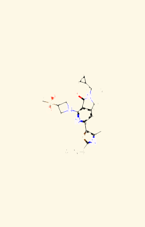 CC(=O)Nc1nc(C)c(-c2cc3c(c(N4CC(S(C)(=O)=O)C4)n2)C(=O)N([C@@H](C)C2CC2)C3)s1